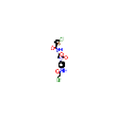 O=C(CCBr)Nc1ccc(N2C[C@H](CNC(=O)c3ccc(Cl)s3)OC2=O)cc1